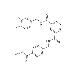 Cc1cc(CNC(=O)c2cc(C(=O)NCc3ccc(C(=O)NC#N)cc3)ncn2)ccc1F